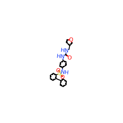 O=C(NCc1ccoc1)Nc1ccc(NS(=O)(=O)c2ccccc2-c2ccccc2)cc1